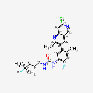 Cc1cc(F)c(NC(=O)NCCCC(C)(C)F)cc1-c1cc2cnc(Cl)cc2nc1C